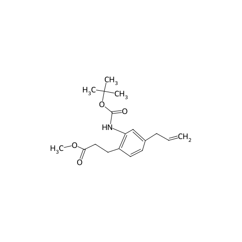 C=CCc1ccc(CCC(=O)OC)c(NC(=O)OC(C)(C)C)c1